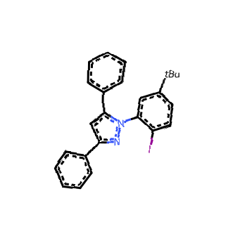 CC(C)(C)c1ccc(I)c(-n2nc(-c3ccccc3)cc2-c2ccccc2)c1